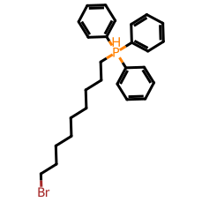 BrCCCCCCCCC[PH](c1ccccc1)(c1ccccc1)c1ccccc1